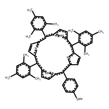 CSc1ccc(-c2c3nc(c(-c4c(C)cc(C)cc4C)c4ccc([nH]4)c(-c4c(C)cc(C)cc4C)c4nc(c(-c5c(C)cc(C)cc5C)c5ccc2[nH]5)C=C4)C=C3)cc1